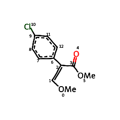 COC=C(C(=O)OC)c1ccc(Cl)cc1